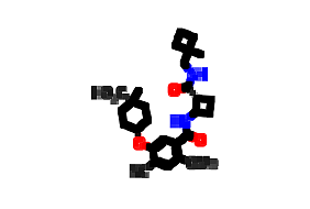 COc1cc(C#N)c(O[C@H]2CC[C@@](C)(C(=O)O)CC2)cc1C(=O)NC1CC[C@H]1C(=O)NCC1(C)CCC1